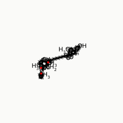 C=C[C@@]1(C)C[C@H](OC(=O)CSC2CC3CCC(C2)N3C)[C@@](C)(C(C)CC)C2C(=O)CCC2(C)[C@H](C)[C@H]1OC(=O)CCCCCCCCCCOC(=O)c1cn2c3c(c(N4CCC(O)CC4)c(F)cc3c1=O)CCC2C